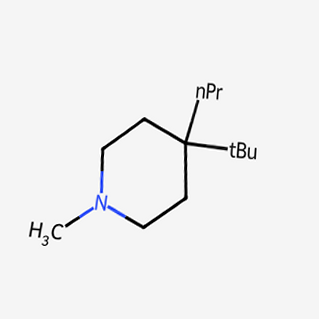 CCCC1(C(C)(C)C)CCN(C)CC1